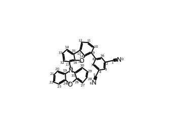 N#Cc1cc(C#N)cc(-c2cccc3c2oc2c(N4c5ccccc5Oc5ccccc54)cccc23)c1